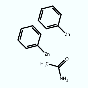 CC(N)=O.[Zn][c]1ccccc1.[Zn][c]1ccccc1